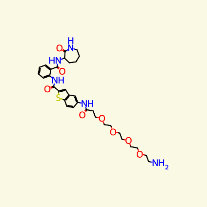 NCCOCCOCCOCCOCCC(=O)Nc1ccc2sc(C(=O)Nc3ccccc3C(=O)NC3CCCCNC3=O)cc2c1